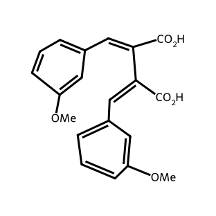 COc1cccc(C=C(C(=O)O)C(=Cc2cccc(OC)c2)C(=O)O)c1